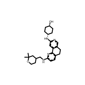 CC1(C)CC(CNc2ccc3c(n2)-c2cc(N[C@H]4CC[C@H](O)CC4)ncc2CC3)CCO1